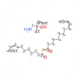 CCCCCC(O)(CC)CN.CCCCCCCC/C=C\CCCCCCCC(=O)[P]C(=O)CCCCCCC/C=C\CCCCCCCC